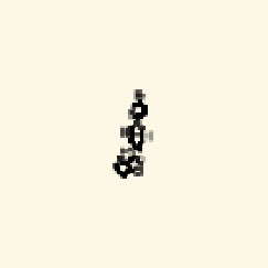 CC1(NC(=O)c2ncccc2Cl)C[C@H]2CN(c3ccc(Br)cn3)C[C@H]2C1